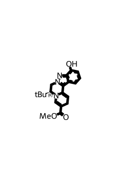 COC(=O)C1=CN2C(=CC1)c1c3cccc(O)c3nn1C[C@H]2C(C)(C)C